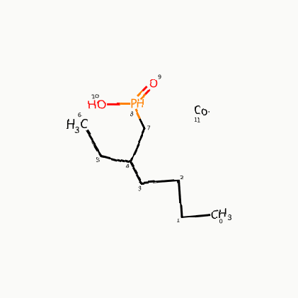 CCCCC(CC)C[PH](=O)O.[Co]